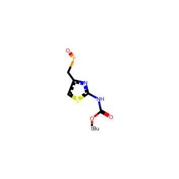 CC(C)(C)OC(=O)Nc1nc(CP=O)cs1